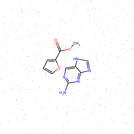 COC(=O)c1ccco1.Nc1ncc2[nH]cnc2n1